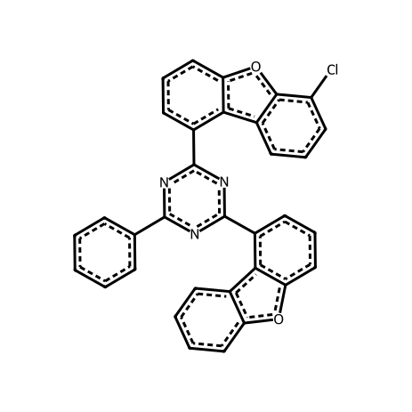 Clc1cccc2c1oc1cccc(-c3nc(-c4ccccc4)nc(-c4cccc5oc6ccccc6c45)n3)c12